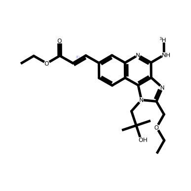 [3H]Nc1nc2cc(/C=C/C(=O)OCC)ccc2c2c1nc(COCC)n2CC(C)(C)O